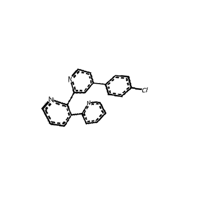 Clc1ccc(-c2ccnc(-c3ncccc3-c3ccccn3)c2)cc1